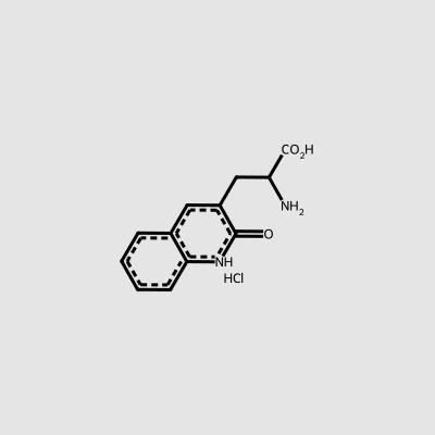 Cl.NC(Cc1cc2ccccc2[nH]c1=O)C(=O)O